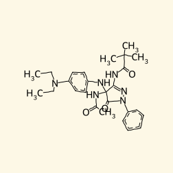 CCN(CC)c1ccc(NC2(NC(C)=O)C(=O)N(c3ccccc3)N=C2NC(=O)C(C)(C)C)cc1